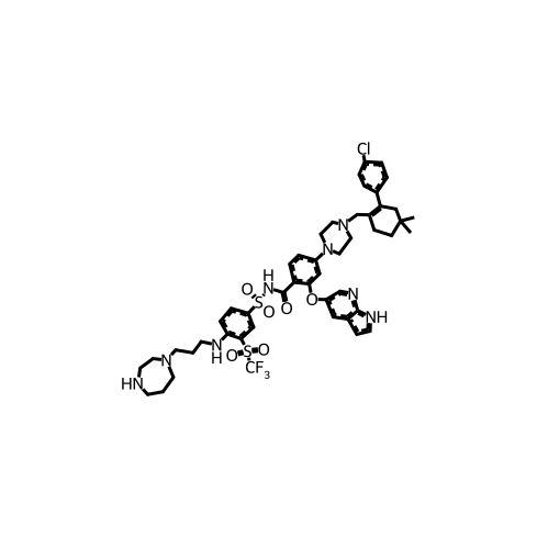 CC1(C)CCC(CN2CCN(c3ccc(C(=O)NS(=O)(=O)c4ccc(NCCCN5CCCNCC5)c(S(=O)(=O)C(F)(F)F)c4)c(Oc4cnc5[nH]ccc5c4)c3)CC2)=C(c2ccc(Cl)cc2)C1